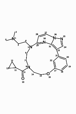 CN(C)CCN1CCN(C(=O)C2CC2)CCOc2cccc(c2)-c2cnn3ccc1nc23